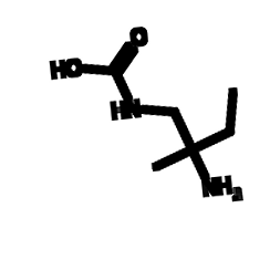 CCC(C)(N)CNC(=O)O